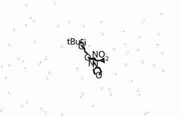 CC(C)(C)[Si](C)(C)OCCCOc1nn(C2CCOCC2)c(C2CC2)c1[N+](=O)[O-]